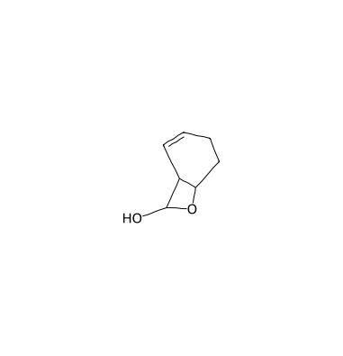 OC1OC2CCC=CC12